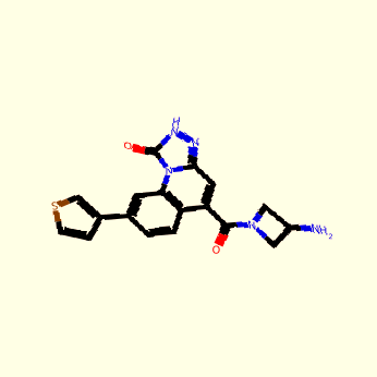 NC1CN(C(=O)c2cc3n[nH]c(=O)n3c3cc(-c4ccsc4)ccc23)C1